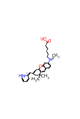 CCN(CCCCCC(=O)O)c1ccc2cc3c([o+]c2c1)C=C(/C=C1\C=CC=CN1)CC3(C)C